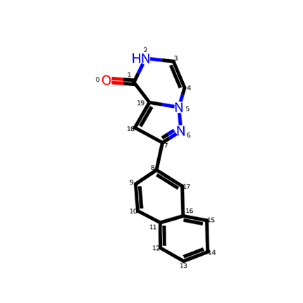 O=c1[nH]ccn2nc(-c3ccc4ccccc4c3)cc12